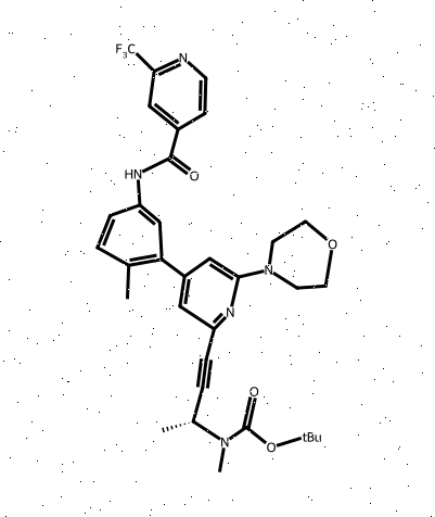 Cc1ccc(NC(=O)c2ccnc(C(F)(F)F)c2)cc1-c1cc(C#C[C@@H](C)N(C)C(=O)OC(C)(C)C)nc(N2CCOCC2)c1